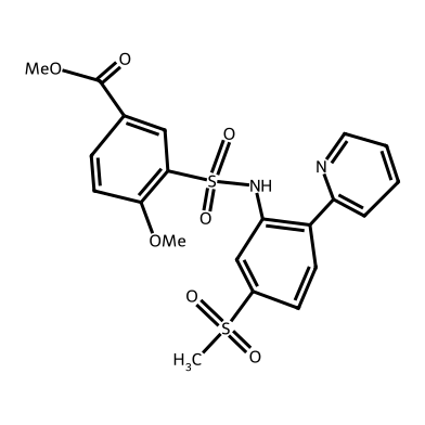 COC(=O)c1ccc(OC)c(S(=O)(=O)Nc2cc(S(C)(=O)=O)ccc2-c2ccccn2)c1